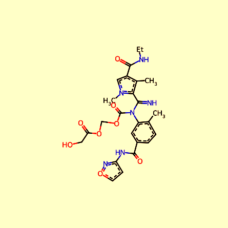 CCNC(=O)c1cn(C)c(C(=N)N(C(=O)OCOC(=O)CO)c2cc(C(=O)Nc3ccon3)ccc2C)c1C